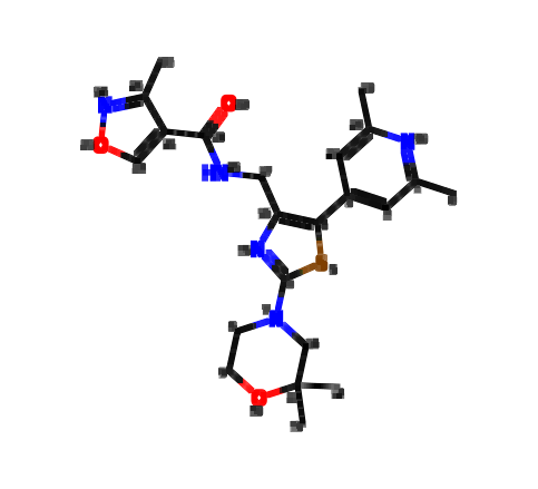 Cc1cc(-c2sc(N3CCOC(C)(C)C3)nc2CNC(=O)c2conc2C)cc(C)n1